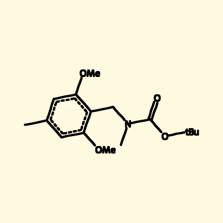 COc1cc(C)cc(OC)c1CN(C)C(=O)OC(C)(C)C